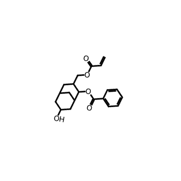 C=CC(=O)OCC1CC2CC(O)CC(C2)C1OC(=O)c1ccccc1